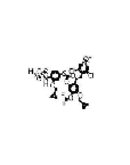 CS(=O)(=O)Nc1ccc(SC(=O)O[C@@H](Cc2c(Cl)c[n+]([O-])cc2Cl)c2ccc(OC(F)F)c(OCC3CC3)c2)cc1OCC1CC1